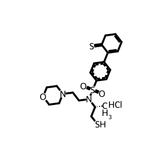 C[C@H](CS)N(CCN1CCOCC1)S(=O)(=O)c1ccc(C2=CC=CCC2=S)cc1.Cl